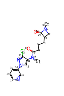 CCN1CC(CCCC(=O)N(CC)c2cn(-c3cccnc3)nc2Cl)C1=O